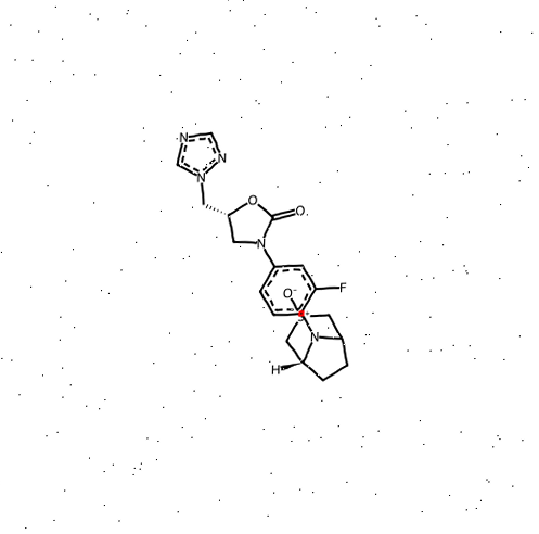 O=C1O[C@@H](Cn2cncn2)CN1c1ccc(N2C3CC[C@@H]2C[S+]([O-])C3)c(F)c1